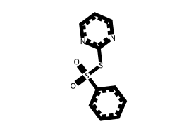 O=S(=O)(Sc1ncccn1)c1ccccc1